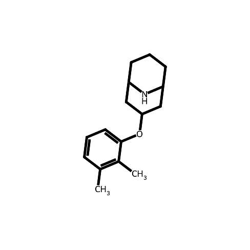 Cc1cccc(OC2CC3CCCC(C2)N3)c1C